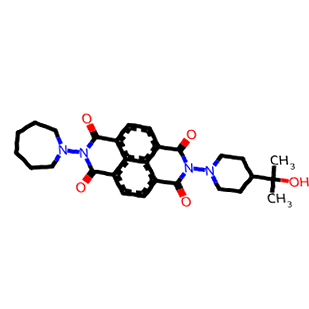 CC(C)(O)C1CCN(N2C(=O)c3ccc4c5c(ccc(c35)C2=O)C(=O)N(N2CCCCCC2)C4=O)CC1